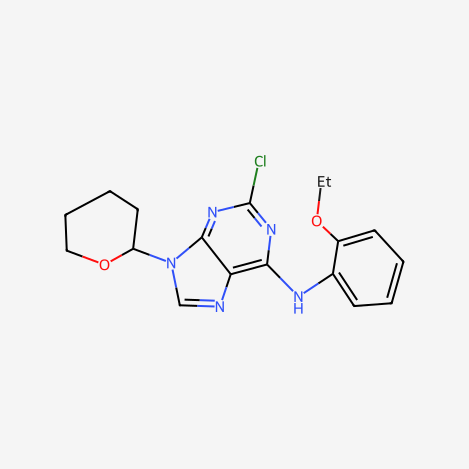 CCOc1ccccc1Nc1nc(Cl)nc2c1ncn2C1CCCCO1